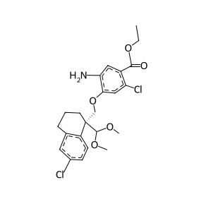 CCOC(=O)c1cc(N)c(OC[C@@]2(C(OC)OC)CCCc3cc(Cl)ccc32)cc1Cl